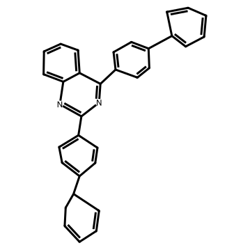 C1=CCC(c2ccc(-c3nc(-c4ccc(-c5ccccc5)cc4)c4ccccc4n3)cc2)C=C1